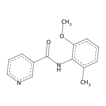 COc1cccc(C)c1NC(=O)c1cccnc1